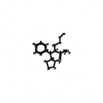 CCCSN(C(N)=O)C(c1ccncc1)C1CCCC1